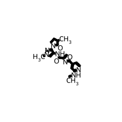 CCNc1cc(-c2nc(C(=O)Nc3cn(C)nc3N3CCC(C)C3=O)co2)ccn1